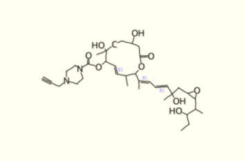 C#CCN1CCN(C(=O)OC2/C=C/C(C)C(/C(C)=C/C=C/C(C)(O)CC3OC3C(C)C(O)CC)OC(=O)CC(O)CCC2(C)O)CC1